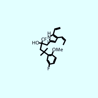 C=Cc1[nH]c(CC(O)(CC(C)(C)c2cc(F)ccc2OC)C(F)(F)F)cc1/C=C\C